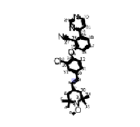 CON1C(C)(C)CC(/C=C/c2ccc(Oc3cccc(-c4ccncn4)c3C#N)c(Cl)c2)CC1(C)C